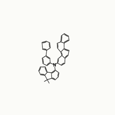 CC1(C)c2ccccc2-c2c(N(c3cccc(-c4ccccc4)c3)c3ccc4ccc5c6ccccc6ccc5c4c3)cccc21